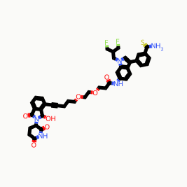 NC(=S)c1cccc(-c2cn(CC(CF)CF)c3cc(NC(=O)CCOCCOCCCC#Cc4cccc5c4C(O)N(C4CCC(=O)NC4=O)C5=O)ccc23)c1